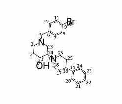 OC1CCN(Cc2ccc(Br)cc2)CC1N1CCC(c2ccccc2)CC1